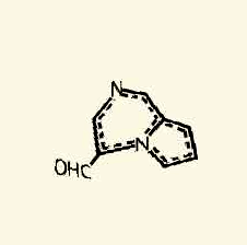 O=Cc1cncc2cccn12